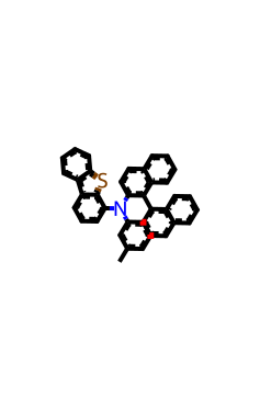 Cc1cccc(N(c2ccc3ccccc3c2-c2cccc3ccccc23)c2cccc3c2sc2ccccc23)c1